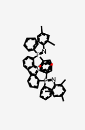 Cc1cc(C)c(N=P(c2ccccc2)(c2ccccc2)c2cccc3c2oc2c(P(=Nc4c(C)cc(C)cc4C)(c4ccccc4)c4ccccc4)cccc23)c(C)c1